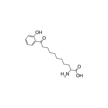 NC(CCCCCCCCC(=O)c1ccccc1O)C(=O)O